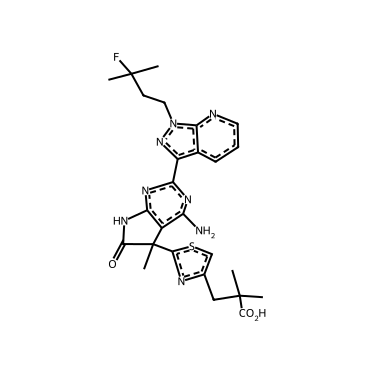 CC(C)(F)CCn1nc(-c2nc(N)c3c(n2)NC(=O)C3(C)c2nc(CC(C)(C)C(=O)O)cs2)c2cccnc21